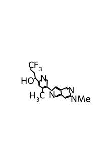 CNc1cc2cnc(-c3cnc([C@@H](O)CCC(F)(F)F)cc3C)cc2cn1